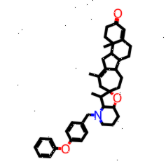 CC1=C2CC3C(CCC4=CC(=O)CCC43C)C2CCC2(C1)OC1CCCN(Cc3ccc(Oc4ccccc4)cc3)C1C2C